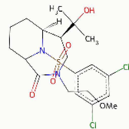 COCCN1C[C@H](C(C)(C)O)[C@@H]2CCCC(C1=O)N2S(=O)(=O)c1cc(Cl)cc(Cl)c1